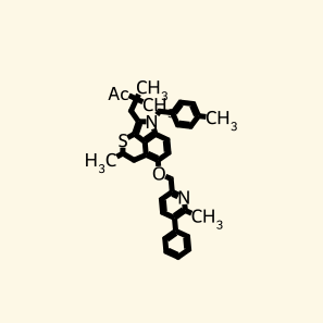 CC(=O)C(C)(C)Cc1c2c3c(c(OCc4ccc(-c5ccccc5)c(C)n4)ccc3n1Cc1ccc(C)cc1)CC(C)S2